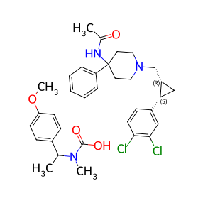 CC(=O)NC1(c2ccccc2)CCN(C[C@@H]2C[C@@H]2c2ccc(Cl)c(Cl)c2)CC1.COc1ccc(C(C)N(C)C(=O)O)cc1